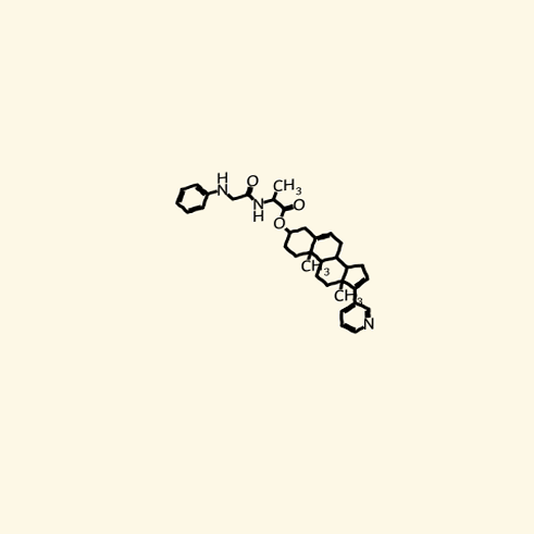 CC(NC(=O)CNc1ccccc1)C(=O)OC1CCC2(C)C(=CCC3C2CCC2(C)C(c4cccnc4)=CCC32)C1